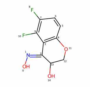 ON=C1c2c(ccc(F)c2F)OCC1O